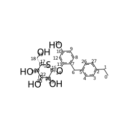 CCc1ccc(Cc2ccc(O)cc2O[C@H]2S[C@@H](CO)[C@@H](O)[C@H](O)[C@H]2O)cc1